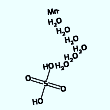 O.O.O.O.O.O.O=S(=O)(O)O.[Mn]